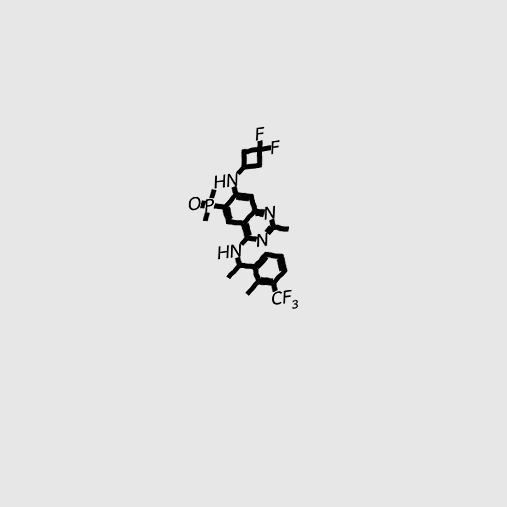 Cc1nc(NC(C)c2cccc(C(F)(F)F)c2C)c2cc(P(C)(C)=O)c(NC3CC(F)(F)C3)cc2n1